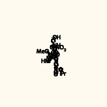 COCCOc1nc2[nH]ccc2cc1Oc1cc(N2CCC3(CC2)CC(N2CCOC[C@H]2c2ccccc2C(C)C)C3)ccc1C(=O)NS(=O)(=O)c1cc2c(c([N+](=O)[O-])c1)N[C@@H]([C@H]1CC[C@](C)(O)CC1)CO2